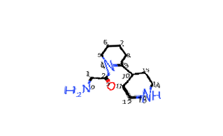 NCC(=O)N1CC[CH]CC1C1CCNCC1